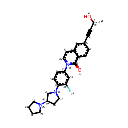 C[C@@H](O)C#Cc1ccc2c(=O)n(-c3ccc(N4CC[C@@H](N5CCCC5)C4)c(F)c3)ccc2c1